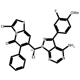 CC[C@@H](c1cc2scc(Cl)n2c(=O)c1-c1ccccc1)n1nc(-c2ccc(OC)c(F)c2)c2c(N)ncnc21